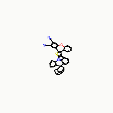 N#Cc1cc2c(cc1C#N)-c1sc3c(c1-c1ccccc1O2)c1cccc2c1n3-c1ccccc1C21C2CC3CC(C2)CC1C3